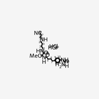 COC(NC(=O)CCCc1ccc(NC(=N)N)cc1)C(=O)NCCCCNCCC#N.Cl.Cl